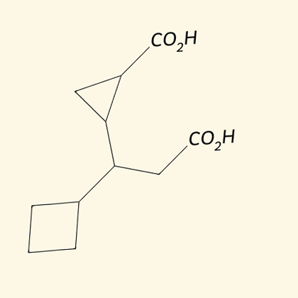 O=C(O)CC(C1CCC1)C1CC1C(=O)O